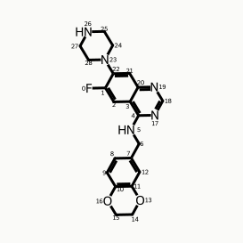 Fc1cc2c(NCc3ccc4c(c3)OCCO4)ncnc2cc1N1CCNCC1